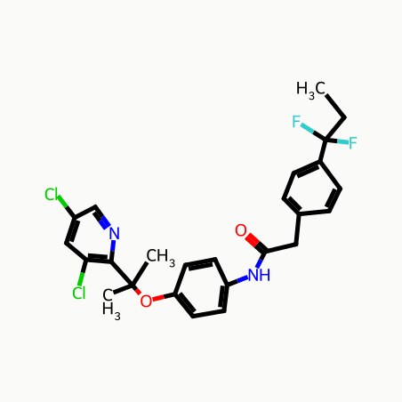 CCC(F)(F)c1ccc(CC(=O)Nc2ccc(OC(C)(C)c3ncc(Cl)cc3Cl)cc2)cc1